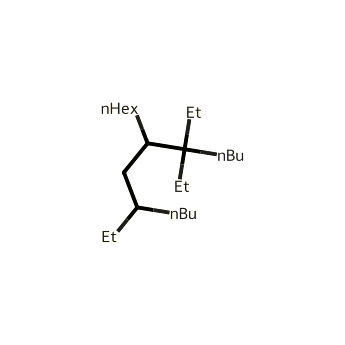 CCCCCC[C](CC(CC)CCCC)C(CC)(CC)CCCC